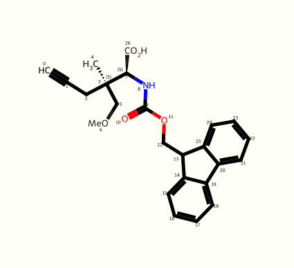 C#CC[C@](C)(COC)[C@H](NC(=O)OCC1c2ccccc2-c2ccccc21)C(=O)O